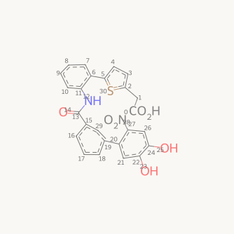 O=C(O)Cc1ccc(-c2ccccc2NC(=O)c2cccc(-c3cc(O)c(O)cc3[N+](=O)[O-])c2)s1